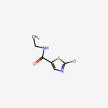 CCNC(=O)c1cnc(Cl)s1